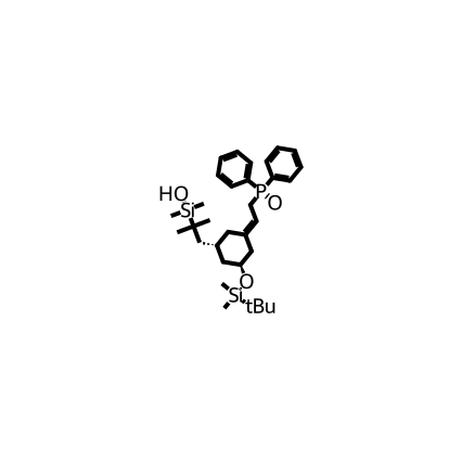 CC(C)(C[C@@H]1C/C(=C\CP(=O)(c2ccccc2)c2ccccc2)C[C@@H](O[Si](C)(C)C(C)(C)C)C1)[Si](C)(C)O